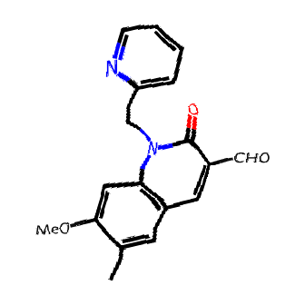 COc1cc2c(cc1C)cc(C=O)c(=O)n2Cc1ccccn1